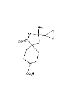 CC(C)(C)C1(C2CC2)CC2(CCN(C(=O)O)CC2)C(=O)O1